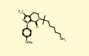 COc1ccc(-n2nc(C(F)(F)F)c3c2C(=O)N(C(C)(C)CCCCCN)CC3)cc1